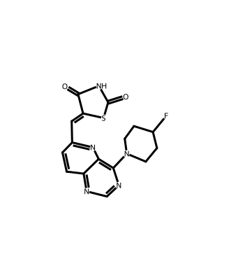 O=C1NC(=O)C(=Cc2ccc3ncnc(N4CCC(F)CC4)c3n2)S1